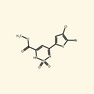 COC(=O)C1=CC(c2cc(Cl)c(Br)s2)=NS(=O)(=O)N1